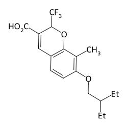 CCC(CC)COc1ccc2c(c1C)OC(C(F)(F)F)C(C(=O)O)=C2